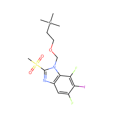 C[Si](C)(C)CCOCn1c(S(C)(=O)=O)nc2cc(F)c(I)c(F)c21